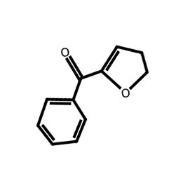 O=C(C1=CCCO1)c1ccccc1